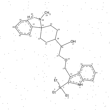 CC[Si](CC)(CC)c1[nH]c2ccccc2c1COCC(O)C1CCC(c2ccccc2)(N(C)C)CC1